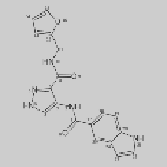 O=C(Nc1c[nH]nc1C(=O)NCc1ccco1)c1ccc2[nH]ccc2c1